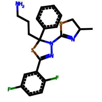 CC1CSC(N2N=C(c3cc(F)ccc3F)SC2(CCCN)c2ccccc2)=N1